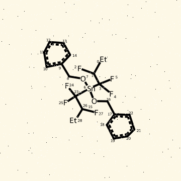 CCC(F)[C](F)(F)[Sn]([O]Cc1ccccc1)([O]Cc1ccccc1)[C](F)(F)C(F)CC